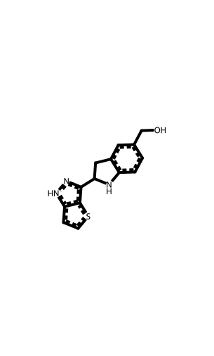 OCc1ccc2c(c1)CC(c1n[nH]c3ccsc13)N2